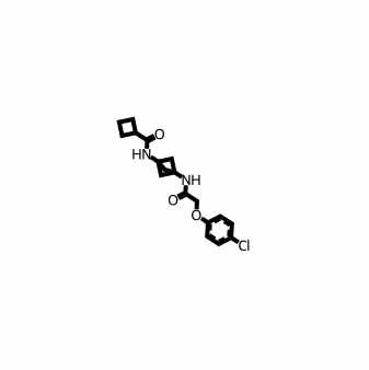 O=C(COc1ccc(Cl)cc1)NC12CC(NC(=O)C3CCC3)(C1)C2